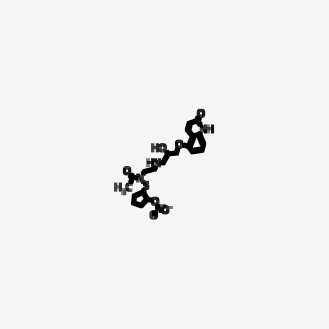 CC(=O)N(CCNCC(O)COc1cccc2[nH]c(=O)ccc12)SC1CCCC1O[N+](=O)[O-]